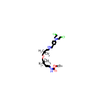 CC(C)(CCNCc1ccc(N(CCCl)CCCl)cc1)COCC(C)(C)CCNC(=O)OC(C)(C)C